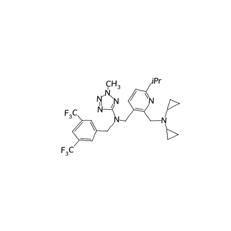 CC(C)c1ccc(CN(Cc2cc(C(F)(F)F)cc(C(F)(F)F)c2)c2nnn(C)n2)c(CN(C2CC2)C2CC2)n1